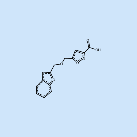 O=C(O)c1cc(COCc2cc3ccccc3o2)on1